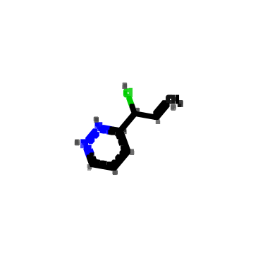 C=CC(Cl)c1cccnn1